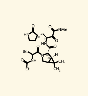 CCC(=O)NC(C(=O)N1CC2[C@@H]([C@H]1C(=O)N[C@@H](C[C@@H]1CCNC1=O)C(=O)C(=O)NC)C2(C)C)C(C)(C)C